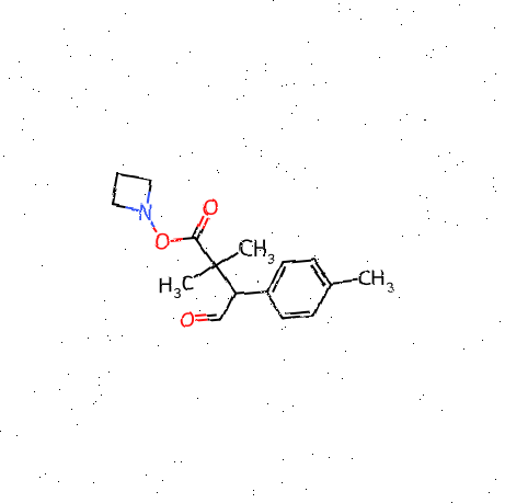 Cc1ccc(C(C=O)C(C)(C)C(=O)ON2CCC2)cc1